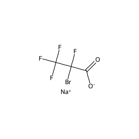 O=C([O-])C(F)(Br)C(F)(F)F.[Na+]